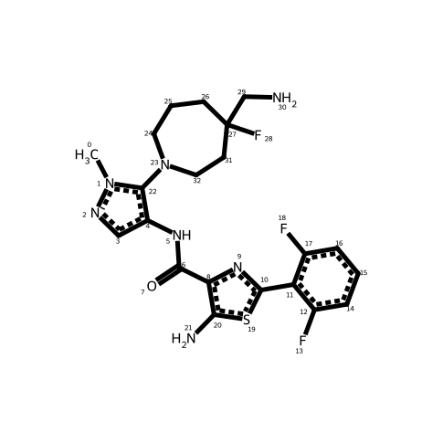 Cn1ncc(NC(=O)c2nc(-c3c(F)cccc3F)sc2N)c1N1CCCC(F)(CN)CC1